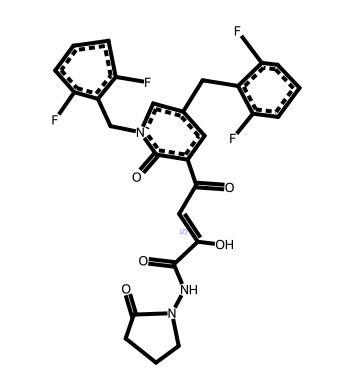 O=C(NN1CCCC1=O)/C(O)=C/C(=O)c1cc(Cc2c(F)cccc2F)cn(Cc2c(F)cccc2F)c1=O